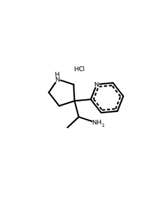 CC(N)C1(c2ccccn2)CCNC1.Cl